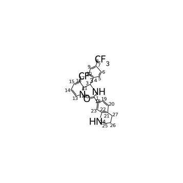 O=C(NC(c1ccc(C(F)(F)F)cc1)c1ncccc1C(F)(F)F)c1ccc2c(c1)NCCC2